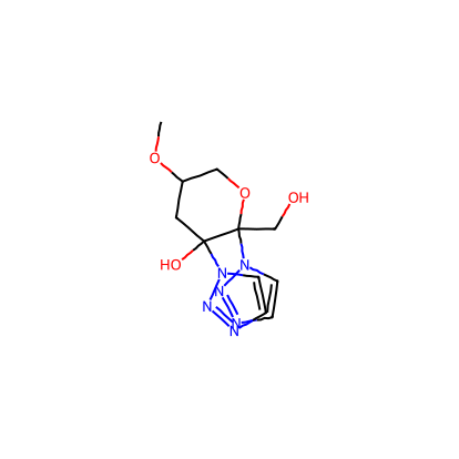 COC1COC(CO)(n2ccnn2)C(O)(n2ccnn2)C1